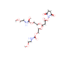 COCCNC(=O)OCCOC(CC(=O)ON1C(=O)CCC1=O)OCCOC(=O)NCCOC